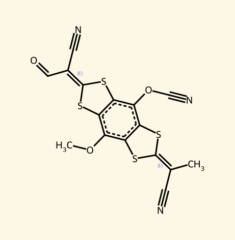 COc1c2c(c(OC#N)c3c1S/C(=C(/C#N)C=O)S3)S/C(=C(\C)C#N)S2